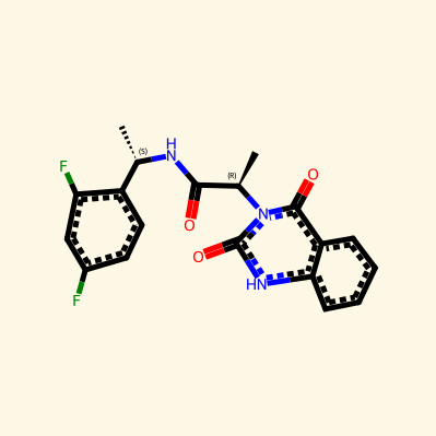 C[C@H](NC(=O)[C@@H](C)n1c(=O)[nH]c2ccccc2c1=O)c1ccc(F)cc1F